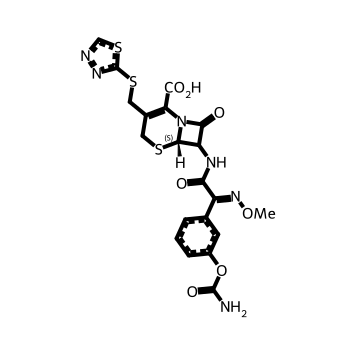 CON=C(C(=O)NC1C(=O)N2C(C(=O)O)=C(CSc3nncs3)CS[C@@H]12)c1cccc(OC(N)=O)c1